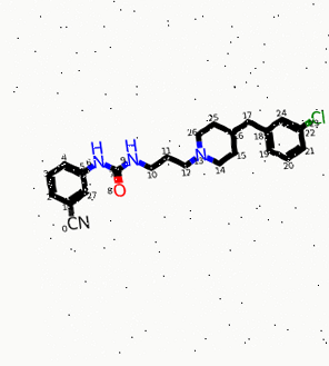 N#Cc1cccc(NC(=O)NCCCN2CCC(Cc3cccc(Cl)c3)CC2)c1